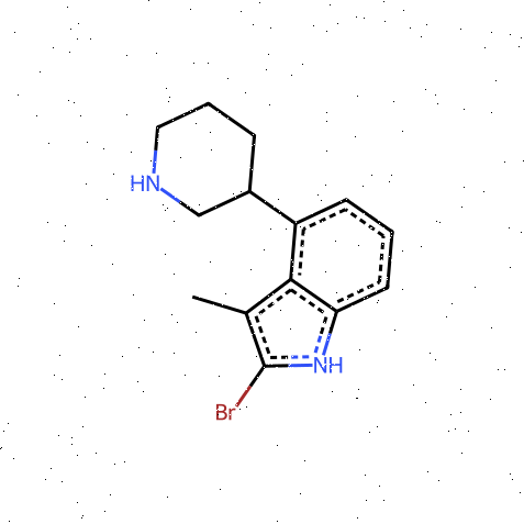 Cc1c(Br)[nH]c2cccc(C3CCCNC3)c12